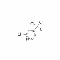 Clc1cc(C(Cl)(Cl)Cl)c[c]n1